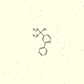 BC(B)(c1ccnc(-c2ccccc2)c1)C(C)C